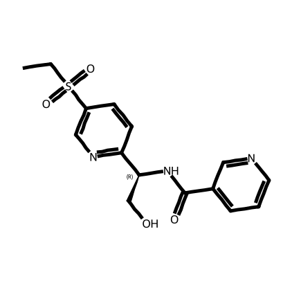 CCS(=O)(=O)c1ccc([C@H](CO)NC(=O)c2cccnc2)nc1